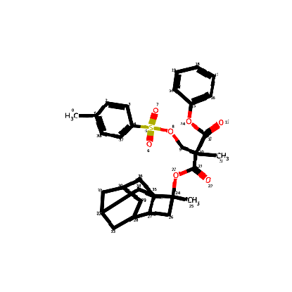 Cc1ccc(S(=O)(=O)OCC(C)(C(=O)Oc2ccccc2)C(=O)OC2(C)CC3C4CC5CC(C4)CC32C5)cc1